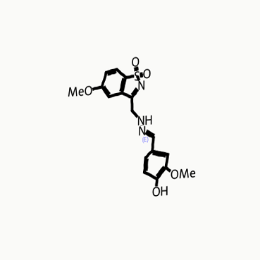 COc1ccc2c(c1)C(CN/N=C/c1ccc(O)c(OC)c1)=NS2(=O)=O